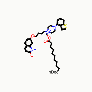 CCCCCCCCCCCCCCCCCCCC(=O)OC[N+]1(CCCCOc2ccc3ccc(=O)[nH]c3c2)CCN(c2cccc3sccc23)CC1